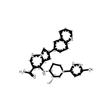 N#Cc1ccc(N2CC[C@@H](Nc3c(C(N)=O)cnn4cc(-c5ccc6ncccc6c5)cc34)[C@@H](F)C2)nn1